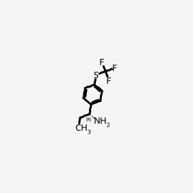 CC[C@@H](N)c1ccc(SC(F)(F)F)cc1